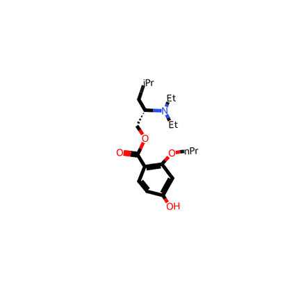 CCCOc1cc(O)ccc1C(=O)OC[C@H](CC(C)C)N(CC)CC